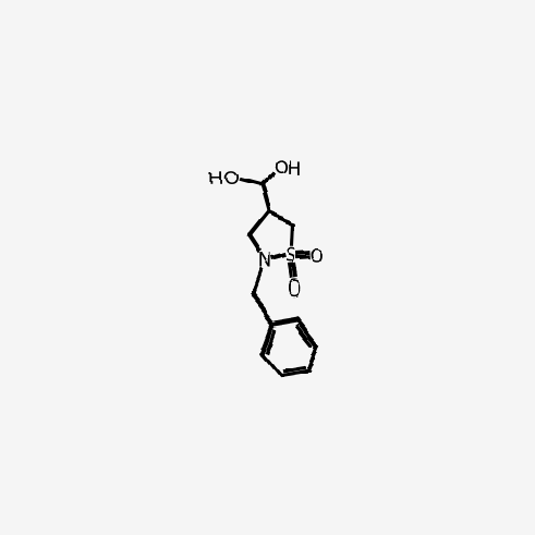 O=S1(=O)CC(C(O)O)CN1Cc1ccccc1